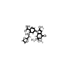 Cc1cc2c(n1-c1ccc(C(N)=O)c(NCC3OCCO3)c1)CC(C)(C)CC2=O